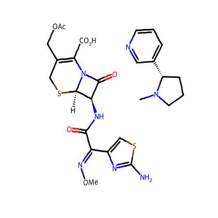 CN1CCC[C@H]1c1cccnc1.CO/N=C(/C(=O)N[C@@H]1C(=O)N2C(C(=O)O)=C(COC(C)=O)CS[C@H]12)c1csc(N)n1